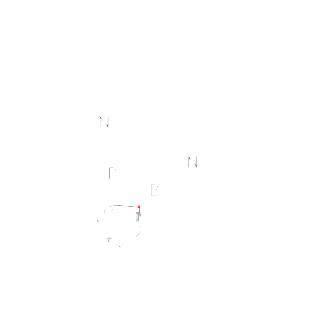 c1ccc(B2c3c(ccc4c3B(c3ccccc3)c3cccc5c6ccccc6n-4c35)-n3c4ccccc4c4cccc2c43)cc1